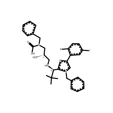 CC(C)(C)[C@@H](NC[C@H](O)CN(Cc1ccccc1)C(=O)O)c1nc(-c2cc(F)ccc2F)cn1Cc1ccccc1